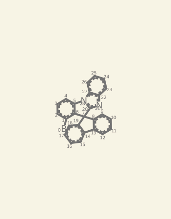 Brc1cccc2c1C1(c3ccccc3-c3ccccc31)c1nc3ccccc3n1-2